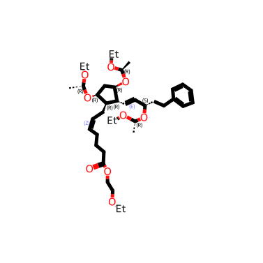 CCOCCOC(=O)CCC/C=C\C[C@@H]1[C@@H](/C=C/[C@H](CCc2ccccc2)O[C@H](C)OCC)[C@H](O[C@H](C)OCC)C[C@H]1O[C@H](C)OCC